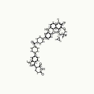 Cn1nc(C2CCC(=O)NC2=O)c2ccc(N3CCN(C(=O)C4CCN(c5ncc(Cl)c(Nc6ccc7c(c6)c6c(c(=O)n7C)OCC(F)(F)[C@H](C7CC7)N6)n5)CC4)CC3)cc21